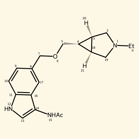 CCN1C[C@@H]2[C@@H](COCc3ccc4[nH]cc(NC(C)=O)c4c3)[C@@H]2C1